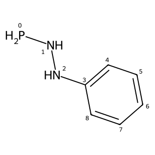 PNNc1ccccc1